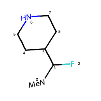 CNC(F)C1CCNCC1